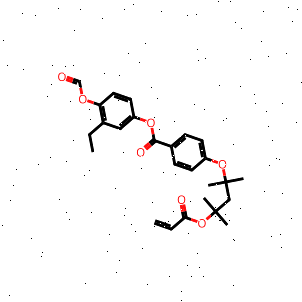 C=CC(=O)OC(C)(C)CC(C)(C)Oc1ccc(C(=O)Oc2ccc(OC=O)c(CC)c2)cc1